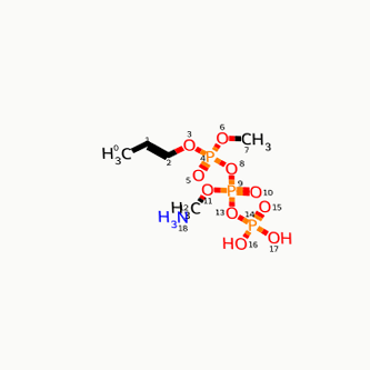 CC=COP(=O)(OC)OP(=O)(OC)OP(=O)(O)O.N